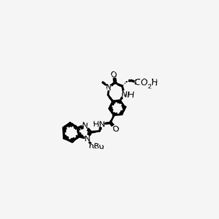 CCCCn1c(CNC(=O)c2ccc3c(c2)CN(C)C(=O)[C@H](CC(=O)O)N3)nc2ccccc21